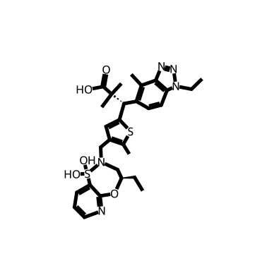 CC[C@@H]1CN(Cc2cc([C@@H](c3ccc4c(nnn4CC)c3C)C(C)(C)C(=O)O)sc2C)S(O)(O)c2cccnc2O1